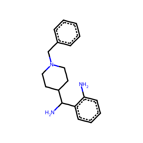 Nc1ccccc1C(N)C1CCN(Cc2ccccc2)CC1